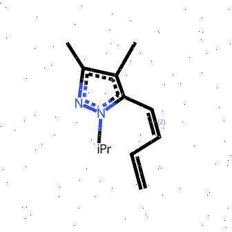 C=C/C=C\c1c(C)c(C)nn1C(C)C